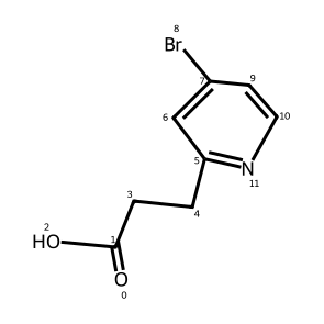 O=C(O)CCc1cc(Br)ccn1